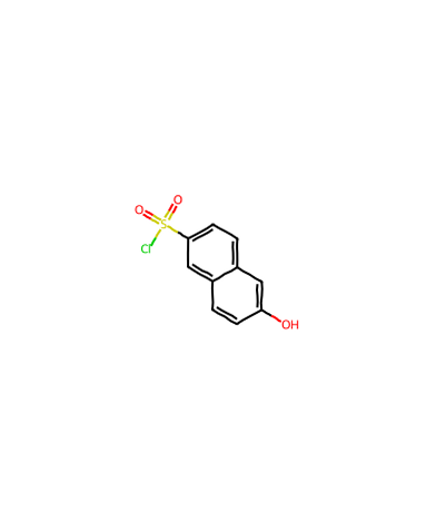 O=S(=O)(Cl)c1ccc2cc(O)ccc2c1